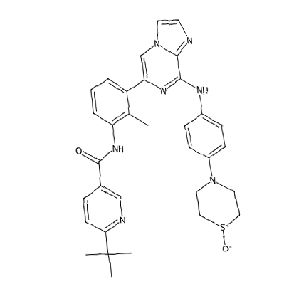 Cc1c(NC(=O)c2ccc(C(C)(C)C)nc2)cccc1-c1cn2ccnc2c(Nc2ccc(N3CC[S+]([O-])CC3)cc2)n1